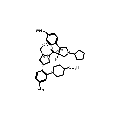 COC[C@@H]1C[C@@H](c2ccc(C(F)(F)F)cc2N2CCC(C(=O)O)CC2)CN1C(=O)[C@@]1(F)CN(C2CCCC2)C[C@@H]1c1ccc(OC)cc1